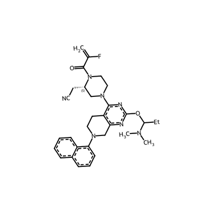 C=C(F)C(=O)N1CCN(c2nc(OC(CC)N(C)C)nc3c2CCN(c2cccc4ccccc24)C3)C[C@@H]1CC#N